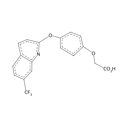 O=C(O)COc1ccc(Oc2ccc3ccc(C(F)(F)F)cc3n2)cc1